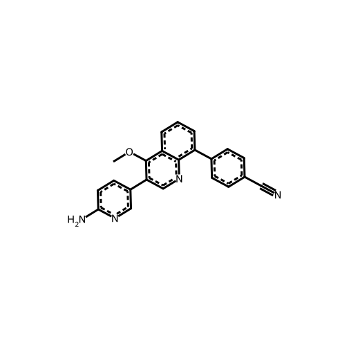 COc1c(-c2ccc(N)nc2)cnc2c(-c3ccc(C#N)cc3)cccc12